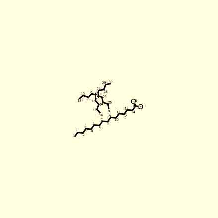 CCCCCCCCCCCCCCCC(=O)[O-].CCCC[N+](CCCC)(CCCC)CCCC